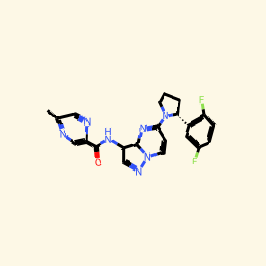 Cc1cnc(C(=O)NC2C=NN3C=CC(N4CCC[C@@H]4c4cc(F)ccc4F)=NC23)cn1